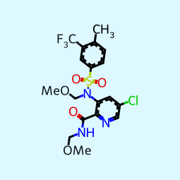 COCNC(=O)c1ncc(Cl)cc1N(COC)S(=O)(=O)c1ccc(C)c(C(F)(F)F)c1